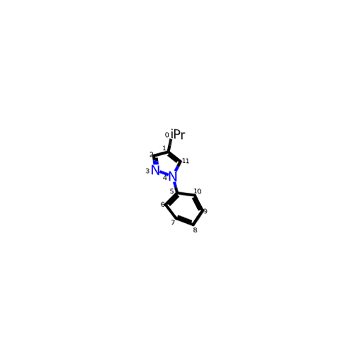 CC(C)c1cnn(-c2ccccc2)c1